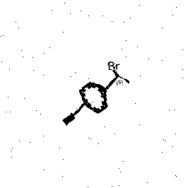 C#Cc1ccc([C@H](C)Br)cc1